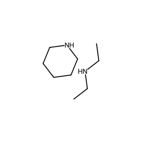 C1CCNCC1.CCNCC